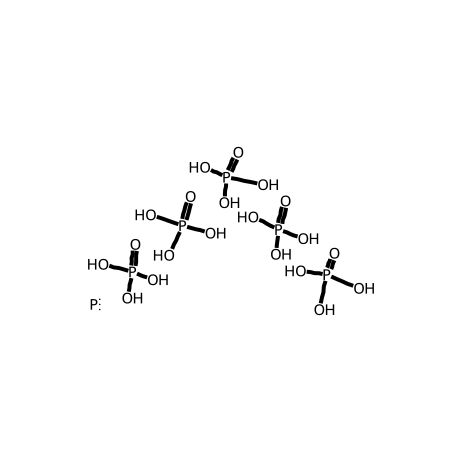 O=P(O)(O)O.O=P(O)(O)O.O=P(O)(O)O.O=P(O)(O)O.O=P(O)(O)O.[P]